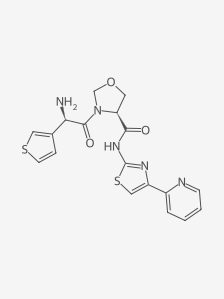 N[C@@H](C(=O)N1COC[C@H]1C(=O)Nc1nc(-c2ccccn2)cs1)c1ccsc1